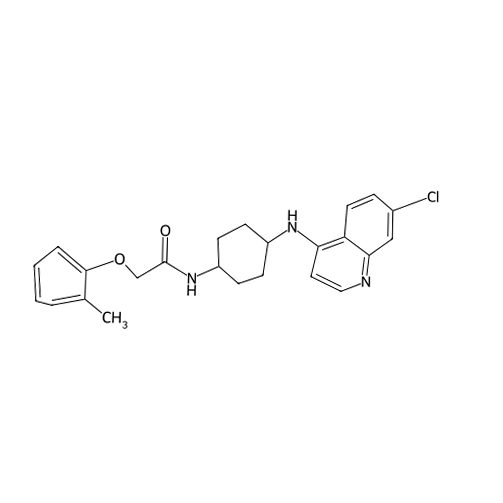 Cc1ccccc1OCC(=O)NC1CCC(Nc2ccnc3cc(Cl)ccc23)CC1